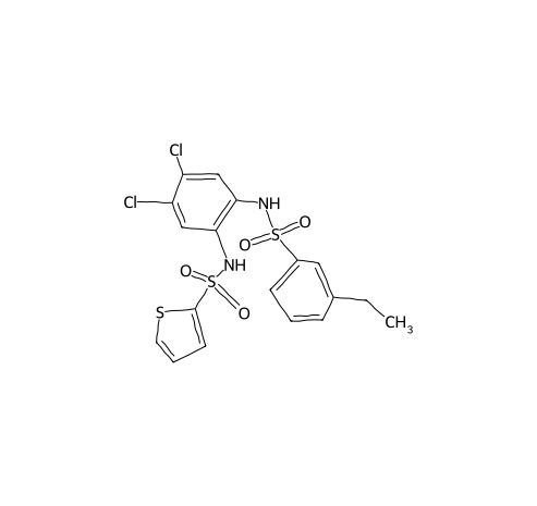 CCc1cccc(S(=O)(=O)Nc2cc(Cl)c(Cl)cc2NS(=O)(=O)c2cccs2)c1